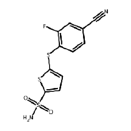 N#Cc1ccc(Sc2ccc(S(N)(=O)=O)s2)c(F)c1